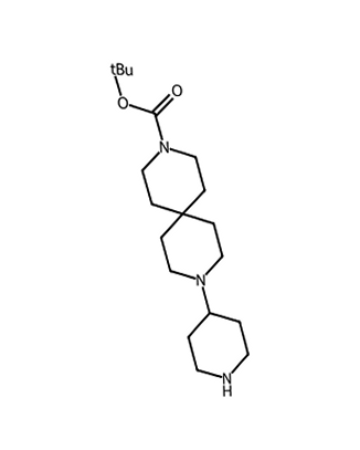 CC(C)(C)OC(=O)N1CCC2(CC1)CCN(C1CCNCC1)CC2